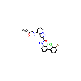 COC(=O)CNC1CCCn2nc(C(=O)Nc3cccc(-c4cccc(Br)c4Cl)c3Cl)cc21